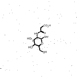 O=C(O)CC(=O)N[C@H]1C(O)OC(CO)C(O)[C@@H]1O